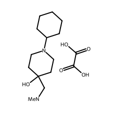 CNCC1(O)CCN(C2CCCCC2)CC1.O=C(O)C(=O)O